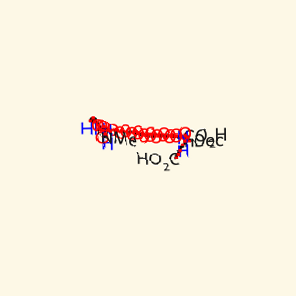 CCCCCCCCCCC(CCCCCCCCCCC(=O)O)C(C(=O)O)C(=O)NCCOCCOCCOCCOCCOCCOCCOCCOCCOCCOCCOCCNC(=O)[C@H](CCC(=O)NC)NC(=O)OCc1ccccc1